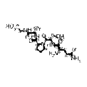 CC(C)[C@H](NC(=O)[C@@H]1CCCN1C(=O)[C@H](CO)NC(=O)[C@@H](N)CCC(N)=O)C(=O)NCC(=O)O